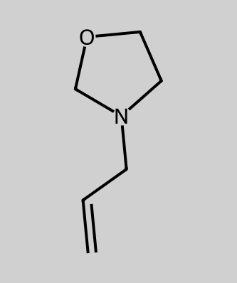 C=CCN1CCOC1